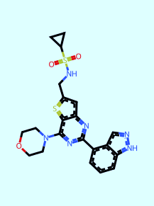 O=S(=O)(NCc1cc2nc(-c3cccc4[nH]ncc34)nc(N3CCOCC3)c2s1)C1CC1